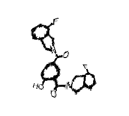 O=C(c1ccc(O)c(C(=O)N2Cc3cccc(F)c3C2)c1)N1Cc2cccc(F)c2C1